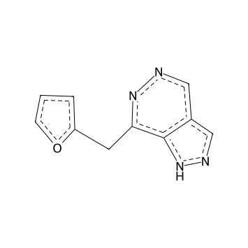 c1coc(Cc2nncc3cn[nH]c23)c1